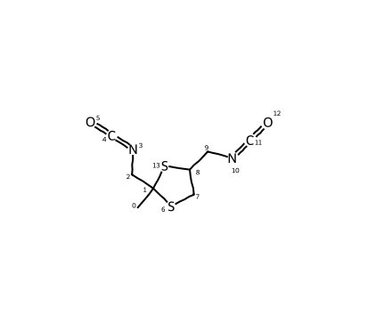 CC1(CN=C=O)SCC(CN=C=O)S1